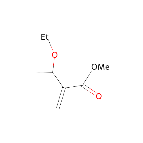 C=C(C(=O)OC)C(C)OCC